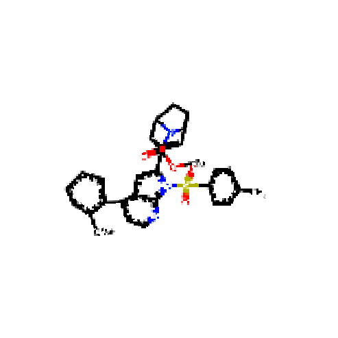 COc1ccccc1-c1ccnc2c1cc(C1=CC3CCC(C1)N3C(=O)OC(C)(C)C)n2S(=O)(=O)c1ccc(C)cc1